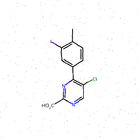 Cc1ccc(-c2nc(C(=O)O)ncc2Cl)cc1I